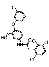 O=C(Cc1c(Cl)ccc(Cl)c1Cl)Nc1ccc(Oc2cccc(Cl)c2)c(SO)c1